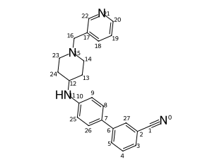 N#Cc1cccc(-c2ccc(NC3CCN(Cc4cccnc4)CC3)cc2)c1